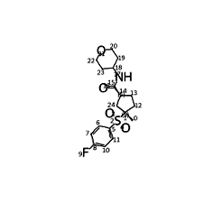 C[C@]1(S(=O)(=O)c2ccc(F)cc2)CC[C@H](C(=O)NC2CCOCC2)C1